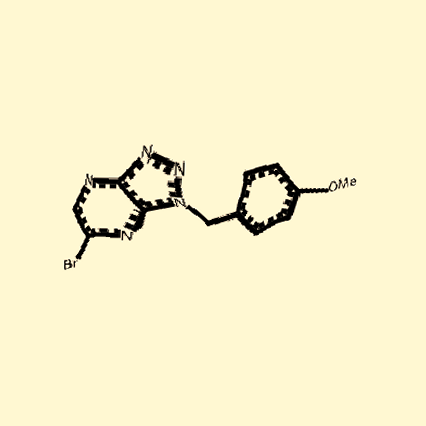 COc1ccc(Cn2nnc3ncc(Br)nc32)cc1